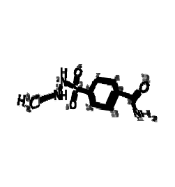 CNNS(=O)(=O)c1ccc(C(N)=O)cc1